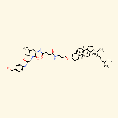 CC(C)CCCC(C)[C@H]1CC[C@H]2[C@@H]3CC=C4C[C@@H](OCCCNC(=O)CCC(=O)NC(CC(C)C)C(=O)NCC(=O)Nc5ccc(CO)cc5)CC[C@]4(C)[C@H]3CC[C@]12C